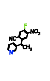 C=C(c1cccnc1)c1cc([N+](=O)[O-])c(F)cc1C#N